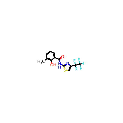 Cc1cccc(C(=O)Nc2nc(C(F)(F)C(F)(F)F)cs2)c1O